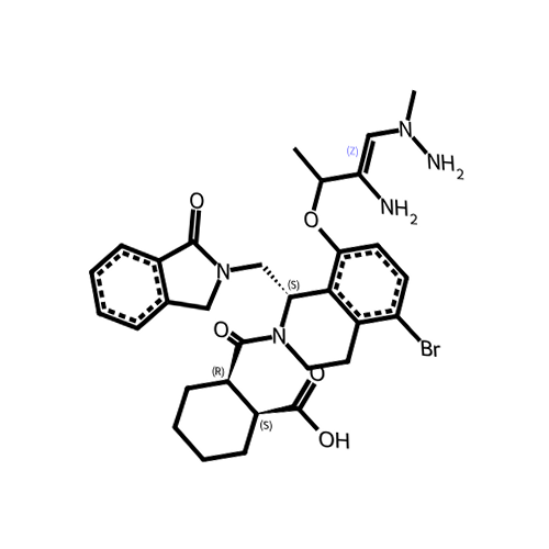 CC(Oc1ccc(Br)c2c1[C@@H](CN1Cc3ccccc3C1=O)N(C(=O)[C@@H]1CCCC[C@@H]1C(=O)O)CC2)/C(N)=C/N(C)N